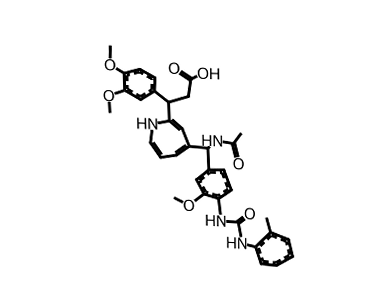 COc1cc(C(NC(C)=O)C2=CC=CNC(C(CC(=O)O)c3ccc(OC)c(OC)c3)=C2)ccc1NC(=O)Nc1ccccc1C